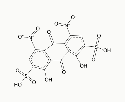 O=C1c2c([N+](=O)[O-])cc(S(=O)(=O)O)c(O)c2C(=O)c2c(O)c(S(=O)(=O)O)cc([N+](=O)[O-])c21